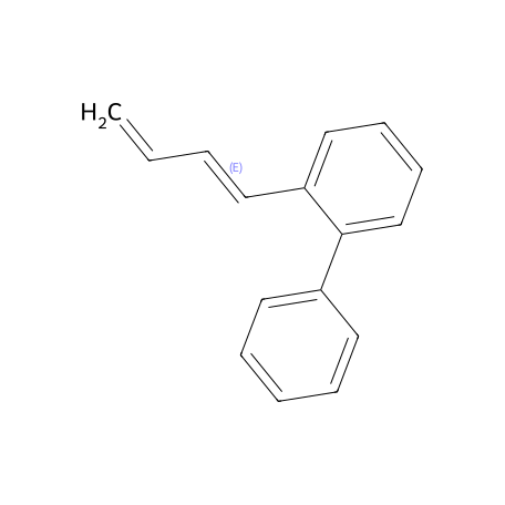 C=C/C=C/c1ccccc1-c1ccccc1